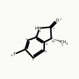 C[C@H]1C(=O)Nc2cc(F)ccc21